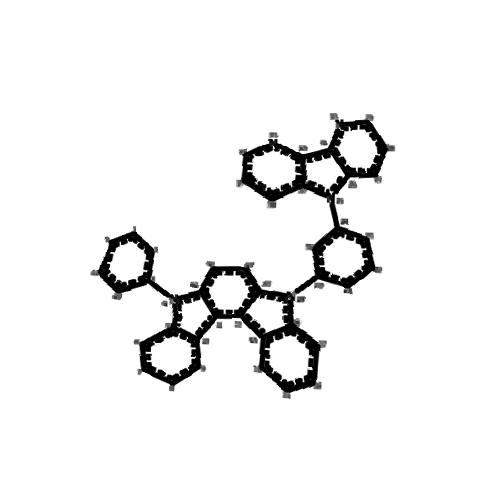 c1ccc(-n2c3ccccc3c3c4c5ccccc5n(-c5cccc(-n6c7cccnc7c7ncccc76)c5)c4ccc32)cc1